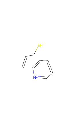 C=CCS.c1ccncc1